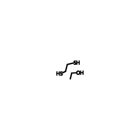 CCO.SCCS